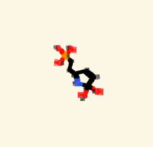 O=P(O)(O)CCC1=NC(O)(O)C=C1